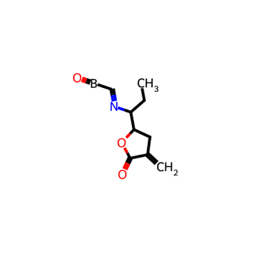 C=C1CC(C(CC)/N=C/B=O)OC1=O